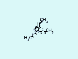 CCCCC1=[C](CCCC)[GeH]([CH2]CCC)[CH]=C1